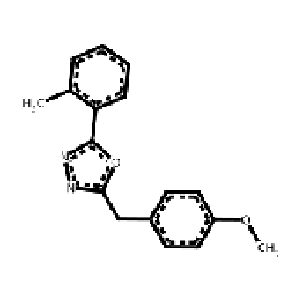 COc1ccc(Cc2nnc(-c3ccccc3C)o2)cc1